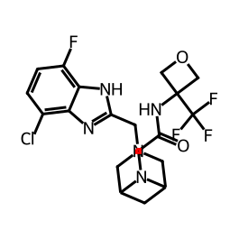 O=C(CN1C2CC1CN(Cc1nc3c(Cl)ccc(F)c3[nH]1)C2)NC1(C(F)(F)F)COC1